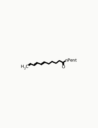 C=CC=CC=CCCCCC(=O)CCCCC